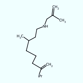 C=C(C)CNCCC(C)CCCC(=C)C(C)C